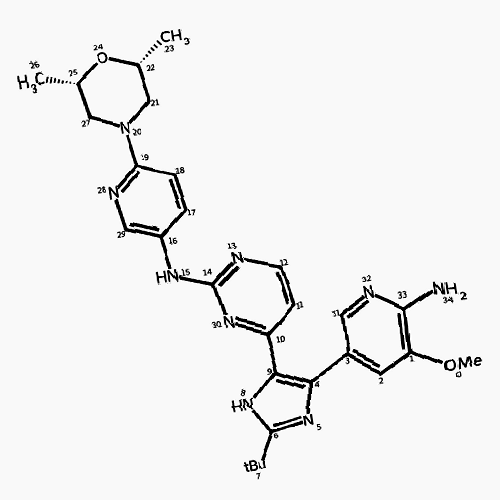 COc1cc(-c2nc(C(C)(C)C)[nH]c2-c2ccnc(Nc3ccc(N4C[C@@H](C)O[C@@H](C)C4)nc3)n2)cnc1N